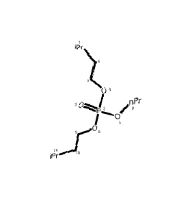 CCCOP(=O)(OCCC(C)C)OCCC(C)C